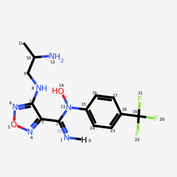 [H]/N=C(/c1nonc1NCC(C)N)N(O)c1ccc(C(F)(F)F)cc1